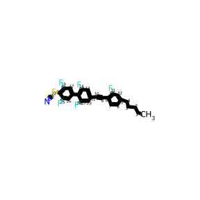 CCCCCc1ccc(C#Cc2cc(F)c(-c3cc(F)c(SC#N)c(F)c3)c(F)c2)c(F)c1